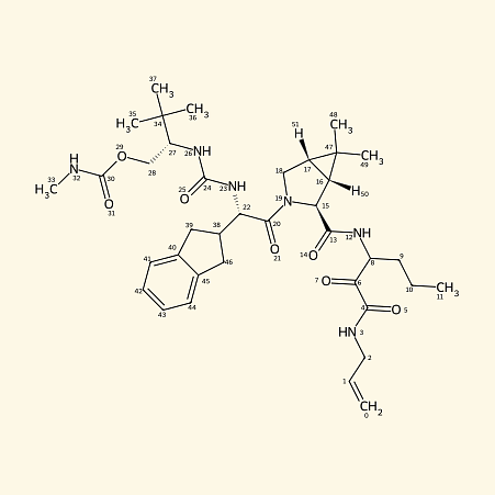 C=CCNC(=O)C(=O)C(CCC)NC(=O)[C@@H]1[C@@H]2[C@H](CN1C(=O)[C@@H](NC(=O)N[C@H](COC(=O)NC)C(C)(C)C)C1Cc3ccccc3C1)C2(C)C